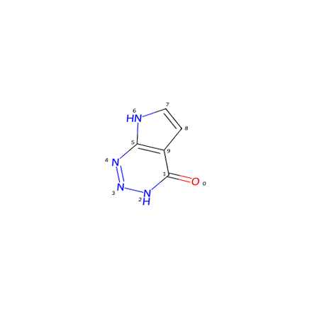 O=c1[nH]nnc2[nH]ccc12